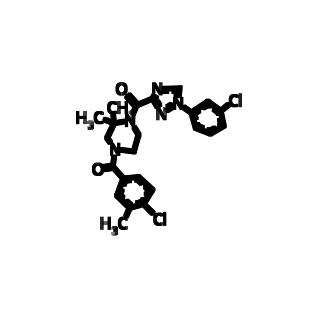 Cc1cc(C(=O)N2CCN(C(=O)c3ncn(-c4cccc(Cl)c4)n3)C(C)(C)C2)ccc1Cl